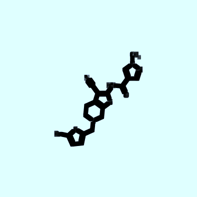 Cn1cc(C(=O)Nc2sc3c(c2C#N)CCN(Cc2ccc(Br)s2)C3)cn1